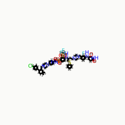 CC1(C)CCC(c2ccc(Cl)cc2)=C(CN2CCN(c3ccc(C(=O)NS(=O)(=O)c4ccc(N[C@H](CCN5CCN(Cc6cccc(NC7CCC(=O)NC7=O)c6F)CC5)CSc5ccccc5)c(S(=O)(=O)C(F)(F)F)c4)cc3)CC2)C1